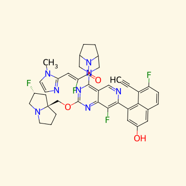 C#Cc1c(F)ccc2cc(O)cc(-c3ncc4c(N5CC6CCC(C5)N6C(=O)/C(F)=C/c5nccn5C)nc(OC[C@@]56CCCN5C[C@H](F)C6)nc4c3F)c12